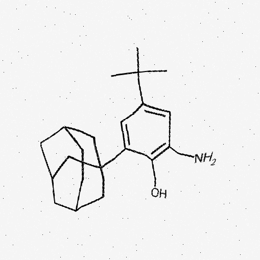 CC(C)(C)c1cc(N)c(O)c(C23CC4CC(CC(C4)C2)C3)c1